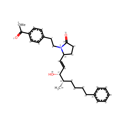 COC(=O)c1ccc(CCN2C(=O)CCC2C=C[C@@H](O)[C@@H](C)CCCCc2ccccc2)cc1